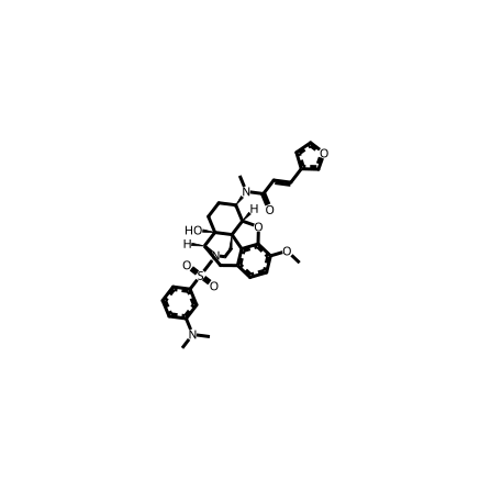 COc1ccc2c3c1O[C@H]1[C@H](N(C)C(=O)/C=C/c4ccoc4)CC[C@@]4(O)[C@@H](C2)N(S(=O)(=O)c2cccc(N(C)C)c2)CC[C@]314